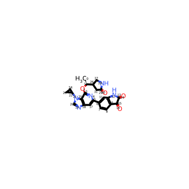 C[C@@H](Oc1nc(-c2ccc3c(c2)NC(=O)C3=O)cc2ncn(C3CC3)c12)C1CNC(=O)C1